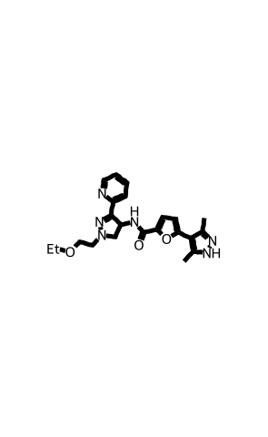 CCOCCN1CC(NC(=O)c2ccc(-c3c(C)n[nH]c3C)o2)C(c2ccccn2)=N1